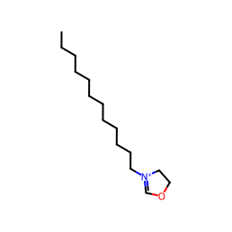 CCCCCCCCCCCC[N+]1=COCC1